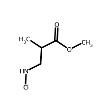 COC(=O)C(C)CNCl